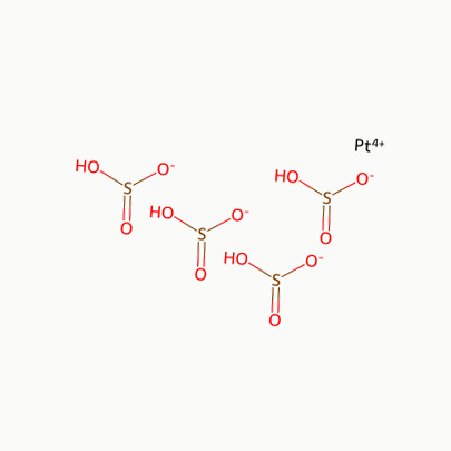 O=S([O-])O.O=S([O-])O.O=S([O-])O.O=S([O-])O.[Pt+4]